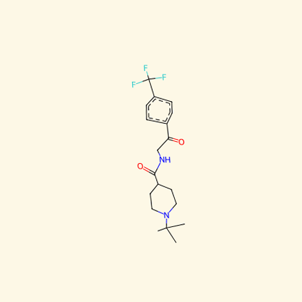 CC(C)(C)N1CCC(C(=O)NCC(=O)c2ccc(C(F)(F)F)cc2)CC1